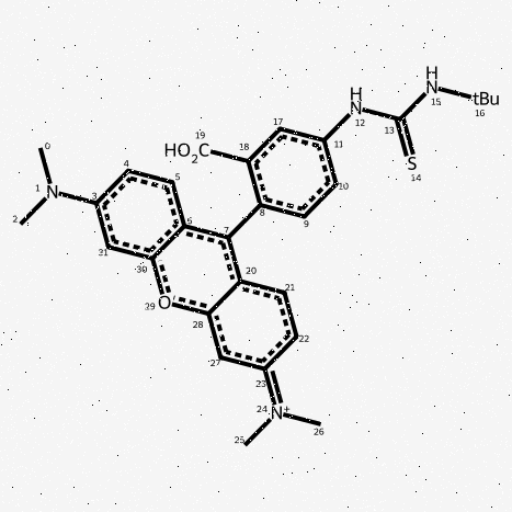 CN(C)c1ccc2c(-c3ccc(NC(=S)NC(C)(C)C)cc3C(=O)O)c3ccc(=[N+](C)C)cc-3oc2c1